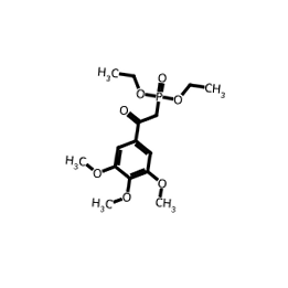 CCOP(=O)(CC(=O)c1cc(OC)c(OC)c(OC)c1)OCC